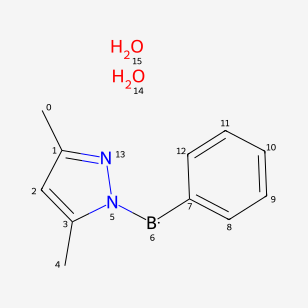 Cc1cc(C)n([B]c2ccccc2)n1.O.O